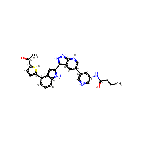 CCCC(=O)Nc1cncc(-c2cnc3[nH]nc(-c4cc5c(-c6ccc(C(C)=O)s6)cccc5[nH]4)c3c2)c1